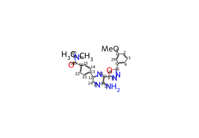 COc1cccc(-c2nnc(-c3nc(-c4ccc(C(=O)N(C)C)cc4)cnc3N)o2)c1